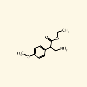 CCOC(=O)C(CN)c1ccc(OC)cc1